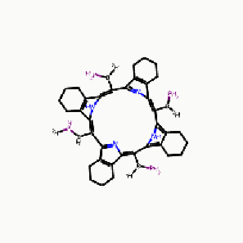 [2H]PBc1c2nc(c(B([2H])P)c3[nH]c(c4c3CCCC4)c(B([2H])P)c3nc(c(B([2H])P)c4[nH]c1c1c4CCCC1)C1=C3CCCC1)C1=C2CCCC1